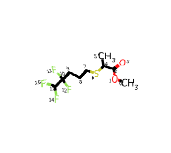 COC(=O)C(C)SCCCC(F)(F)C(F)F